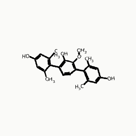 COc1c(-c2c(C)cc(O)cc2C)[c]cc(-c2c(C)cc(O)cc2C)c1O